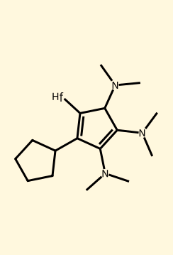 CN(C)C1=C(N(C)C)C(N(C)C)[C]([Hf])=C1C1CCCC1